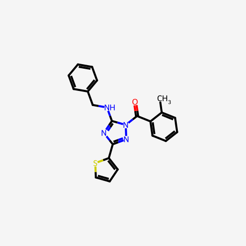 Cc1ccccc1C(=O)n1nc(-c2cccs2)nc1NCc1ccccc1